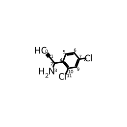 C#CC(N)c1ccc(Cl)cc1Cl